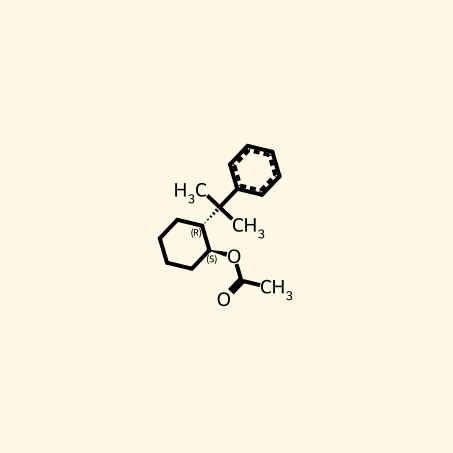 CC(=O)O[C@H]1CCCC[C@@H]1C(C)(C)c1ccccc1